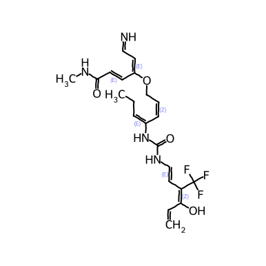 C=C/C(O)=C(\C=C\NC(=O)NC(/C=C\COC(/C=C/C(=O)NC)=C/C=N)=C/CC)C(F)(F)F